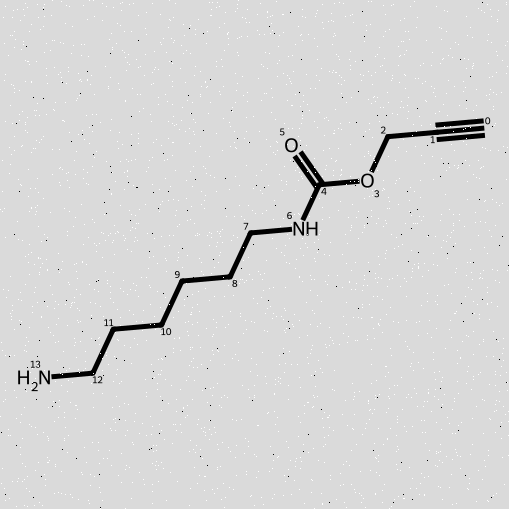 C#CCOC(=O)NCCCCCCN